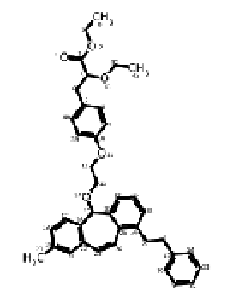 CCOC(=O)C(Cc1ccc(OCCOC2c3ccc(C)cc3C=Cc3c(CCc4ccccc4)cccc32)cc1)OCC